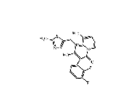 Cc1ncc(C[n+]2c(O)c(-c3cccc(F)c3F)c(=O)n3cccc(C)c32)s1